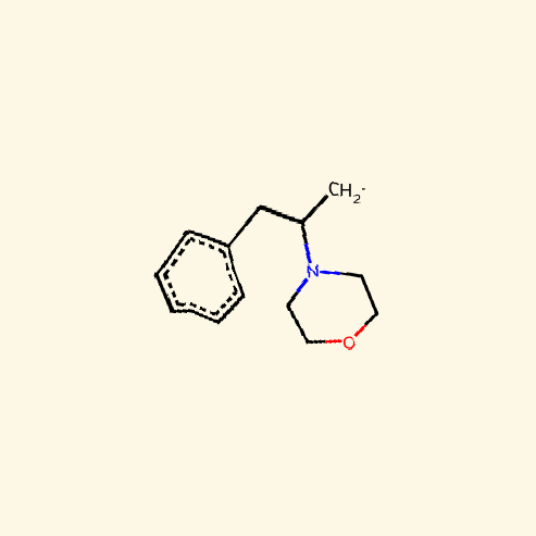 [CH2]C(Cc1ccccc1)N1CCOCC1